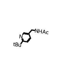 CC(=O)NCc1ccc(C(C)(C)C)nc1